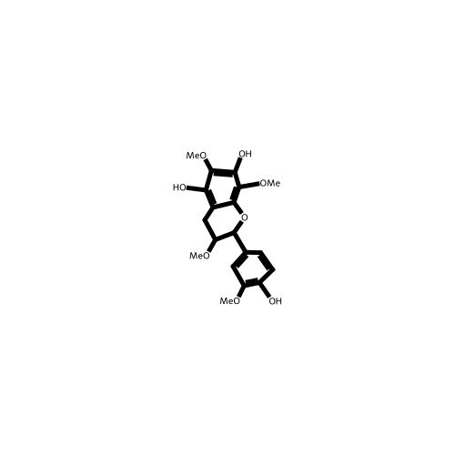 COc1cc(C2Oc3c(c(O)c(OC)c(O)c3OC)CC2OC)ccc1O